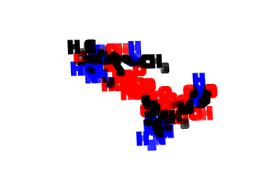 CO[C@@H]1[C@H](OP(=O)(O)OC[C@H]2O[C@@H](n3ccc(=O)[nH]c3=O)[C@H](O)[C@@H]2O)C(COP(=O)(O)OP(=O)(O)OP(=O)(O)OC[C@H]2O[C@@H](n3c[n+](C)c4c(=O)[nH]c(N)nc43)[C@H](O)[C@@H]2CCNC(C)=O)O[C@H]1n1cnc2c(N)ncnc21